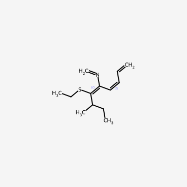 C=C/C=C\C(N=C)=C(\SCC)C(C)CC